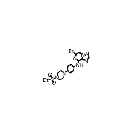 CCS(=O)(=O)N1CCN(c2ccc(Nc3nc(Br)cn4ncnc34)cc2)CC1